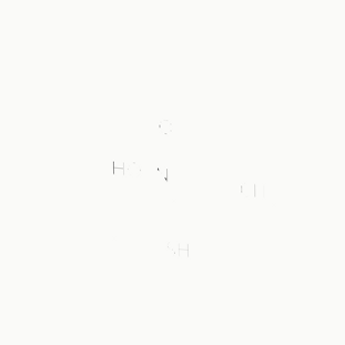 Cc1cc(C(S)c2ccccc2)n(O)c(=O)c1